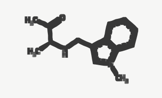 CC(=O)[C@H](C)NCc1cn(C)c2ccccc12